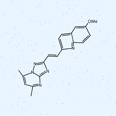 COc1ccc2nc(/C=C/c3nc4nc(C)cc(C)n4n3)ccc2c1